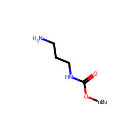 CCCCOC(=O)NCCCN